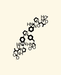 COC(=O)N[C@H](C(=O)N1CCC[C@H]1c1nc2cc([C@H]3CC[C@H](c4ccc5nc([C@@H]6CCCN6C(=O)[C@@H](NC(=O)OC)C(C)C)[nH]c5c4)N3c3ccc(C[C@H]4COC(=O)N4)cc3)ccc2[nH]1)C(C)C